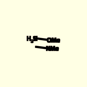 CNC.CO[SiH3]